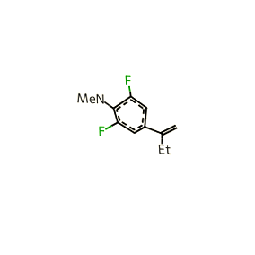 C=C(CC)c1cc(F)c(NC)c(F)c1